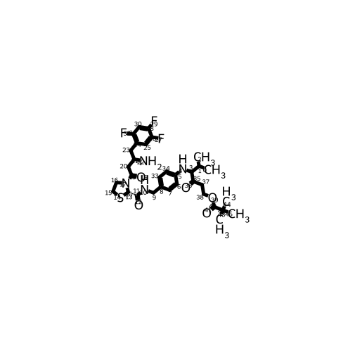 CC(C)C(Nc1ccc(CNC(=O)[C@@H]2SCCN2C(=O)CC(N)Cc2cc(F)c(F)cc2F)cc1)C(=O)CCOC(=O)C(C)(C)C